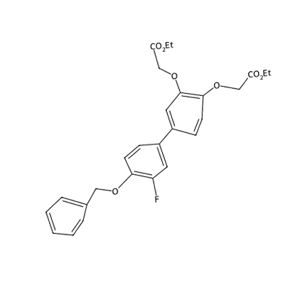 CCOC(=O)COc1ccc(-c2ccc(OCc3ccccc3)c(F)c2)cc1OCC(=O)OCC